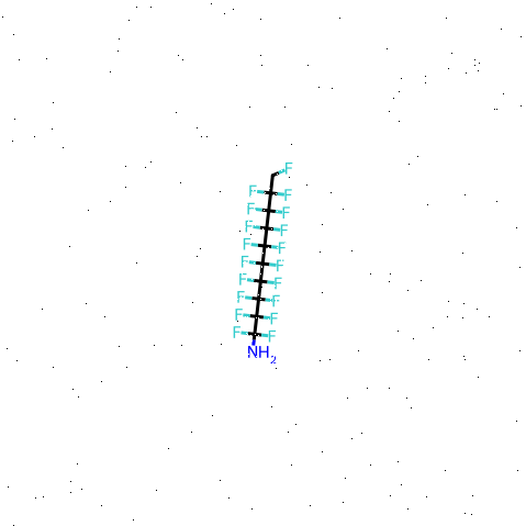 NC(F)(F)C(F)(F)C(F)(F)C(F)(F)C(F)(F)C(F)(F)C(F)(F)C(F)(F)C(F)(F)CF